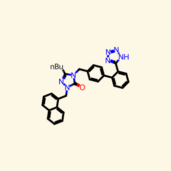 CCCCc1nn(Cc2cccc3ccccc23)c(=O)n1Cc1ccc(-c2ccccc2-c2nnn[nH]2)cc1